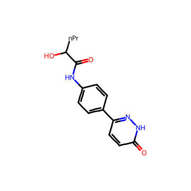 CCCC(O)C(=O)Nc1ccc(-c2ccc(=O)[nH]n2)cc1